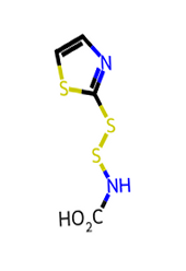 O=C(O)NSSc1nccs1